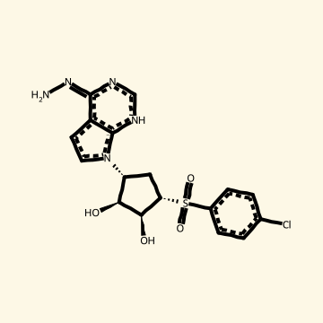 N/N=c1/nc[nH]c2c1ccn2[C@@H]1C[C@H](S(=O)(=O)c2ccc(Cl)cc2)[C@@H](O)[C@H]1O